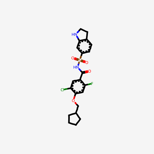 O=C(NS(=O)(=O)c1ccc2c(c1)NCC2)c1cc(Cl)c(OCC2CCCC2)cc1F